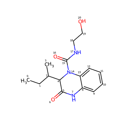 CCC(C)C1C(=O)Nc2ccccc2N1C(=O)NCCO